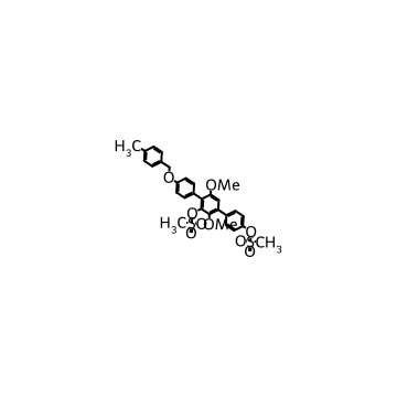 COc1cc(-c2ccc(OS(C)(=O)=O)cc2)c(OC)c(OS(C)(=O)=O)c1-c1ccc(OCc2ccc(C)cc2)cc1